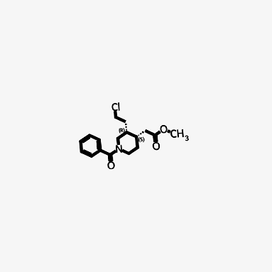 COC(=O)C[C@@H]1CCN(C(=O)c2ccccc2)C[C@@H]1CCCl